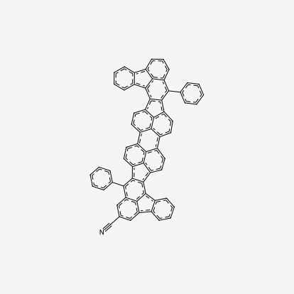 N#Cc1cc2c(-c3ccccc3)c3c4ccc5c6ccc7c8c(ccc(c9ccc(c4c59)c3c3c4ccccc4c(c1)c23)c68)c1c(-c2ccccc2)c2cccc3c4ccccc4c(c23)c71